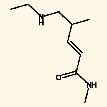 CCNCC(C)C=CC(=O)NC